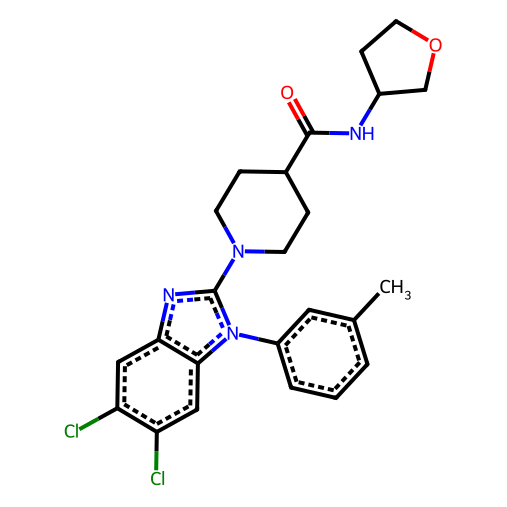 Cc1cccc(-n2c(N3CCC(C(=O)NC4CCOC4)CC3)nc3cc(Cl)c(Cl)cc32)c1